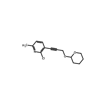 Cc1ccc(C#CCOC2CCCCO2)c(Cl)n1